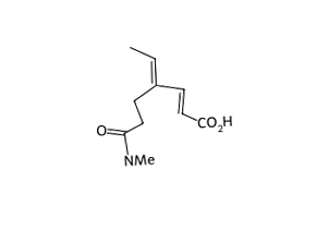 C/C=C(/C=C/C(=O)O)CCC(=O)NC